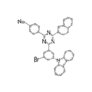 N#Cc1ccc(-c2nc(-c3cc(Br)cc(-n4c5ccccc5c5ccccc54)c3)nc(-c3ccc4ccccc4c3)n2)cc1